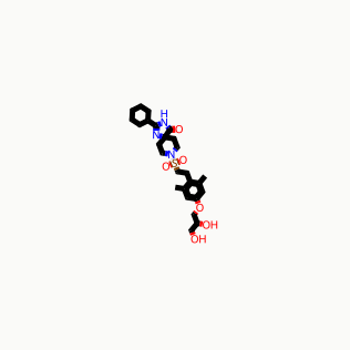 Cc1cc(OCC(O)CO)cc(C)c1CCS(=O)(=O)N1CCC2(CC1)N=C(C1CCCCC1)NC2=O